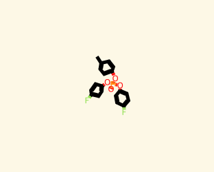 Cc1ccc(OP(=O)(Oc2ccc(F)cc2)Oc2ccc(F)cc2)cc1